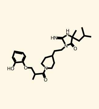 CC(C)CC1(C)NC(=N)N(CCC2CCN(C(=O)C(C)COc3ccccc3O)CC2)C1=O